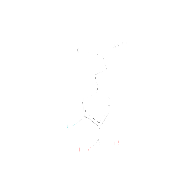 CCCCC(CC)CCc1ccc(B(O)O)c(F)c1